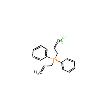 C=CC[P+](CC=C)(c1ccccc1)c1ccccc1.[Cl-]